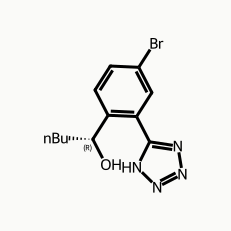 CCCC[C@@H](O)c1ccc(Br)cc1-c1nnn[nH]1